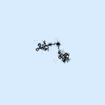 CC[C@H](NC)C(=O)NC1C(=O)N2[C@@H](CC[C@@H]1CNC(=O)CCCNc1c(NCCCCNC(=O)[C@@H](NC(=O)[C@@H]3CC[C@@H]4CC[C@H](CO)[C@H](NC(=O)[C@H](CC)NC)C(=O)N43)c3ccccc3)c(=O)c1=O)CC[C@H]2C(=O)NC(c1ccccc1)c1ccccc1